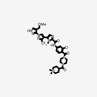 COCc1c[nH]nc1-n1cc(-c2cnc(C(=O)Nc3ccc(C(=O)N4CCN(C(=O)C5CC[N+](C)(C)CC5)CC4)c(Cl)c3)n2C)c(C(F)(F)F)n1